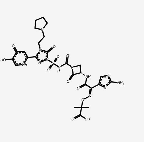 CC(C)(O/N=C(\C(=O)N[C@H]1CN(C(=O)NS(=O)(=O)n2nc(-c3cc(=O)c(O)c[nH]3)n(CCN3CCCC3)c2=O)C1=O)c1csc(N)n1)C(=O)O